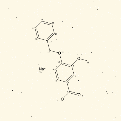 COc1cc(C(=O)[O-])ccc1OCc1ccccc1.[Na+]